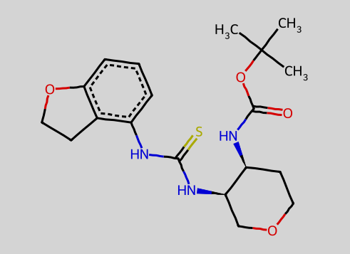 CC(C)(C)OC(=O)N[C@H]1CCOC[C@H]1NC(=S)Nc1cccc2c1CCO2